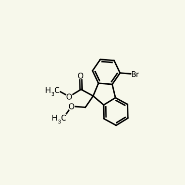 COCC1(C(=O)OC)c2ccccc2-c2c(Br)cccc21